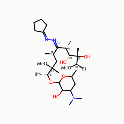 CC[C@@H](OC)[C@@](C)(O)[C@H](O)[C@@H](C)/C(=N/N=C1CCCC1)[C@H](C)C[C@@](C)(OC)[C@H](OC1OC(C)CC(N(C)C)C1O)C(C)C